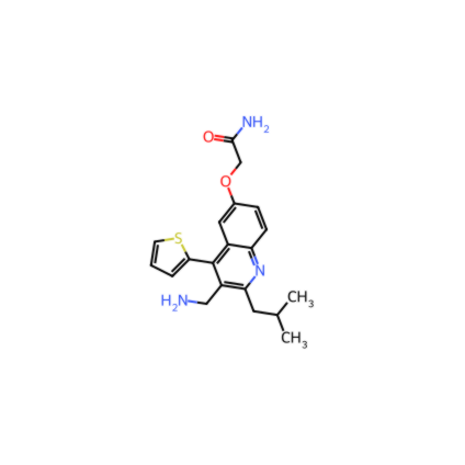 CC(C)Cc1nc2ccc(OCC(N)=O)cc2c(-c2cccs2)c1CN